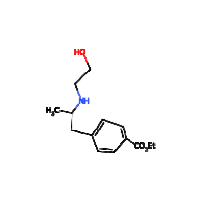 CCOC(=O)c1ccc(CC(C)NCCO)cc1